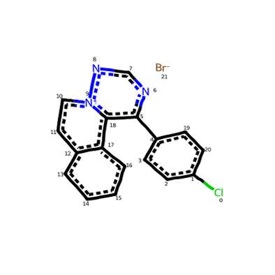 Clc1ccc(-c2ncn[n+]3ccc4ccccc4c23)cc1.[Br-]